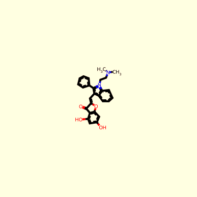 CN(C)CCn1c(-c2ccccc2)c(/C=C2\Oc3cc(O)cc(O)c3C2=O)c2ccccc21